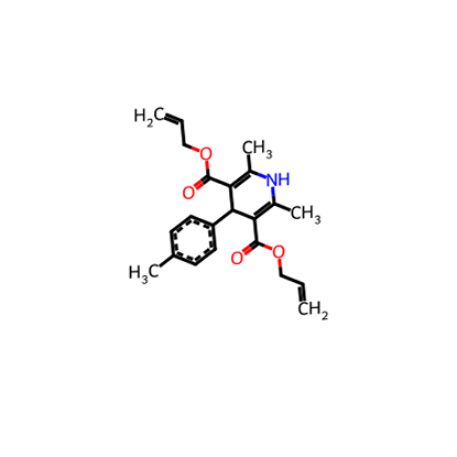 C=CCOC(=O)C1=C(C)NC(C)=C(C(=O)OCC=C)C1c1ccc(C)cc1